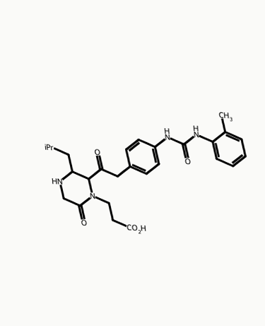 Cc1ccccc1NC(=O)Nc1ccc(CC(=O)C2C(CC(C)C)NCC(=O)N2CCC(=O)O)cc1